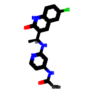 COC(=O)Nc1ccnc(N[C@@H](C)c2cc3cc(Cl)ccc3[nH]c2=O)c1